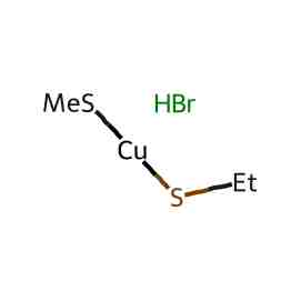 Br.CC[S][Cu][S]C